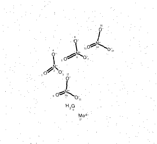 O.O=[N+]([O-])[O-].O=[N+]([O-])[O-].O=[N+]([O-])[O-].O=[N+]([O-])[O-].[Mo+4]